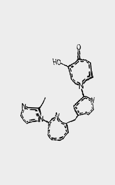 Cc1nccn1-c1cccc(-c2ccnc(-n3ccc(=O)c(O)c3)c2)n1